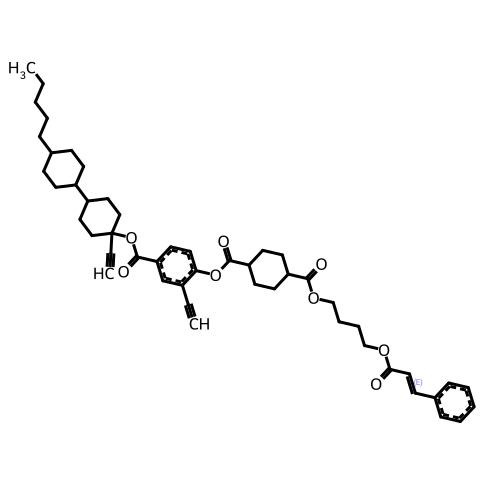 C#Cc1cc(C(=O)OC2(C#C)CCC(C3CCC(CCCCC)CC3)CC2)ccc1OC(=O)C1CCC(C(=O)OCCCCOC(=O)/C=C/c2ccccc2)CC1